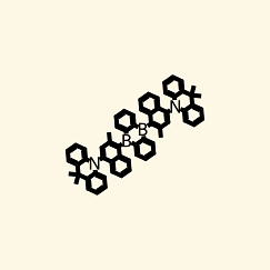 Cc1cc(N2c3ccccc3C(C)(C)c3ccccc32)c2ccccc2c1B1c2ccccc2B(c2c(C)cc(N3c4ccccc4C(C)(C)c4ccccc43)c3ccccc23)c2ccccc21